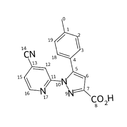 Cc1ccc(-c2cc(C(=O)O)nn2-c2cc(C#N)ccn2)cc1